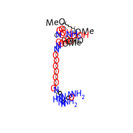 CO[C@@H](C[C@@H]1CCC[C@](O)(C(=O)C(=O)N2CCCC[C@H]2C)O1)/C(C)=C/C=C/C=C/[C@@H](C)C[C@@H](C)C(=O)[C@H](OC)[C@H](O)/C(C)=C/[C@@H](C)[C@H](O)C[C@H](OC=O)[C@H](N)C[C@@H]1CC[C@@H](OC(=O)N2CCN(CCOCCOCCOCCOCCOCCOCCC(=O)N3CCc4cc(CNc5ncnc(N)c5C(=N)c5ccc6oc(N)nc6c5)ccc4C3)CC2)[C@H](OC)C1